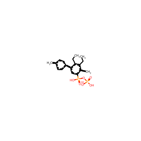 C=c1ccc(=c2cc(P(=O)(O)OP(=O)(O)O)c(=C)c(CC)c2CC)cc1